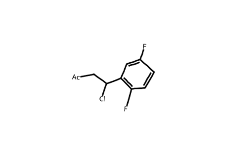 CC(=O)CC(Cl)c1cc(F)ccc1F